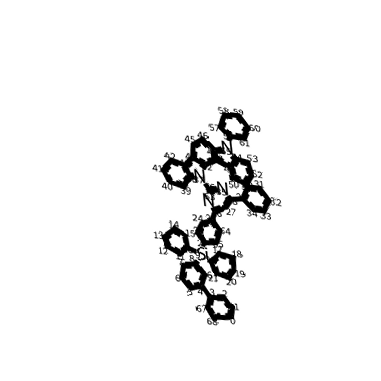 c1ccc(-c2cccc([Si](c3ccccc3)(c3ccccc3)c3ccc(-c4cc(-c5ccccc5)nc(-n5c6ccccc6c6ccc7c(c8ccccc8n7-c7ccccc7)c65)n4)cc3)c2)cc1